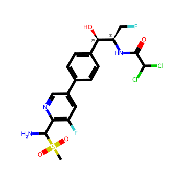 CS(=O)(=O)C(N)c1ncc(-c2ccc([C@@H](O)[C@@H](CF)NC(=O)C(Cl)Cl)cc2)cc1F